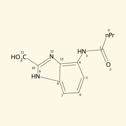 CCCC(=O)Nc1cccc2[nH]c(C(=O)O)nc12